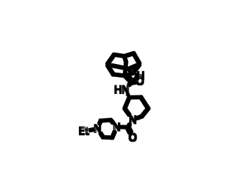 CCN1CCN(C(=O)N2CCC[C@H](NC(=O)C34CC5CC(C3)C(O)C(C5)C4)C2)CC1